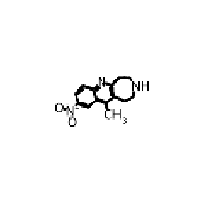 Cc1c2c(nc3ccc([N+](=O)[O-])cc13)CCNCC2